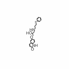 O=c1ccc2cc(OCC(O)CNCCCSc3ccccc3)ccc2[nH]1